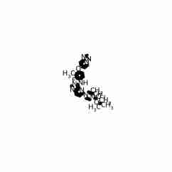 Cc1c(Oc2ccn3ncnc3c2)ccc(Nc2ncnc3ccc(N4CCN(C(=O)OC(C)(C)C)C(C)(C)C4)nc23)c1F